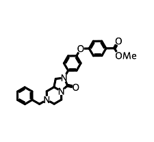 COC(=O)c1ccc(Oc2ccc(N3CC4CN(Cc5ccccc5)CCN4C3=O)cc2)cc1